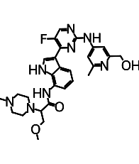 COCC(C(=O)Nc1cccc2c(-c3nc(Nc4cc(C)nc(CO)c4)ncc3F)c[nH]c12)N1CCN(C)CC1